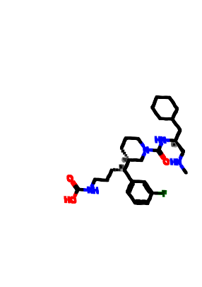 CNC[C@H](CC1CCCCC1)NC(=O)N1CCC[C@@H]([C@@H](CCCNC(=O)O)c2cccc(F)c2)C1